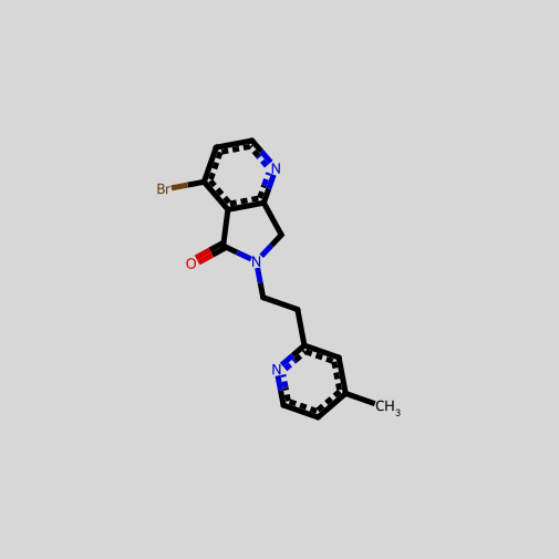 Cc1ccnc(CCN2Cc3nccc(Br)c3C2=O)c1